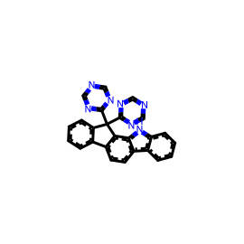 c1ccc2c(c1)-c1ccc3c([nH]c4ccccc43)c1C2(c1ncncn1)c1ncncn1